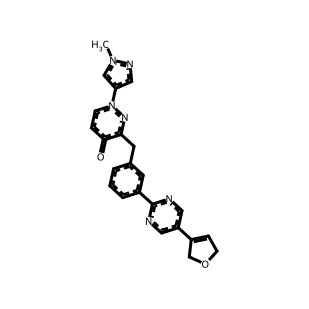 Cn1cc(-n2ccc(=O)c(Cc3cccc(-c4ncc(C5=CCOC5)cn4)c3)n2)cn1